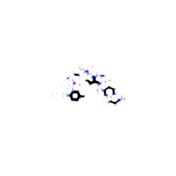 Cc1ccc(N)c(NC(=O)N(C)CCN(C)C(=O)n2ccc3c(N(C)[C@H]4CN(C(=O)CC#N)CC[C@H]4C)ncnc32)c1